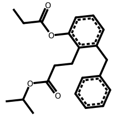 CCC(=O)Oc1cccc(Cc2ccccc2)c1CCC(=O)OC(C)C